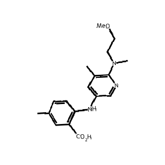 COCCN(C)c1ncc(Nc2ccc(C)cc2C(=O)O)cc1C